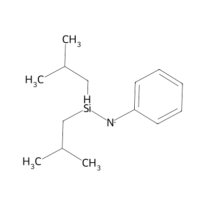 CC(C)C[SiH](CC(C)C)[N]c1ccccc1